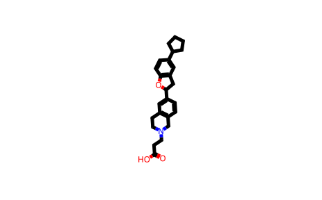 O=C(O)CCN1CCc2cc(C3Cc4cc(C5CCCC5)ccc4O3)ccc2C1